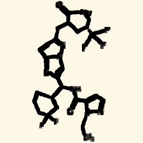 CCn1nccc1C(=O)N[C@H](c1cn2nc(CC3C[C@@H](C(F)(F)F)CNC3=O)ccc2n1)[C@@H]1CCCC(F)(F)C1